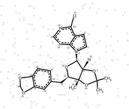 CC1(C)O[C@H]2[C@H](n3ccc4c(Cl)ncnc43)O[C@H](Cc3ccc4c(c3)OCO4)[C@@]2(C)O1